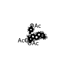 CC(=O)Oc1ccc(SC2C=C3[C@@](C)(CC[C@@]4(C)[C@@H]5CC(C)(C)CC[C@]5(C)CC[C@]34C)c3cc(OC(C)=O)c(OC(C)=O)c(C)c32)cc1